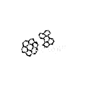 O=C(O)c1c(C(=O)O)c2c(C(=O)O)ccc3c4cccc5cccc(c(c1C(=O)O)c23)c54.c1cc2ccc3ccc4ccc5ccc6ccc1c1c2c3c4c5c61